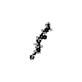 O=C(CCN1CCOCC1)Nc1ccc2c(=O)n(CC3(O)CCN(C(=O)C(CCCNC(=O)c4ccc5c(Cl)cc(C(F)(F)F)nc5c4)Cc4ccccc4)CC3)cnc2c1